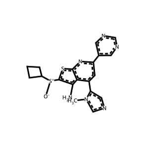 Cn1cncc1-c1cc(-c2cncnc2)nc2sc([S+]([O-])C3CCC3)c(N)c12